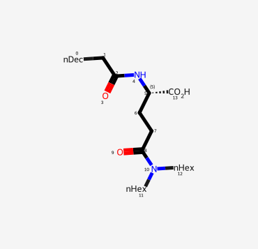 CCCCCCCCCCCC(=O)N[C@@H](CCC(=O)N(CCCCCC)CCCCCC)C(=O)O